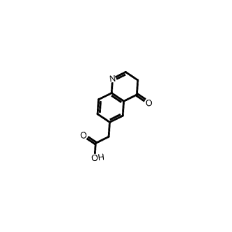 O=C(O)Cc1ccc2c(c1)C(=O)CC=N2